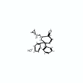 Cl.O=C1CCC(c2ccccc2)(c2ccccc2)CN1CNC1CC1